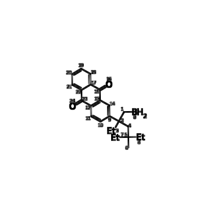 BCC(CC)(CC(C)(CC)CC)c1ccc2c(c1)C(=O)c1ccccc1C2=O